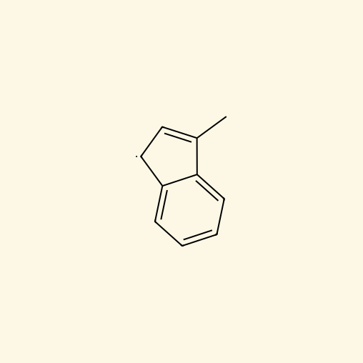 CC1=C[CH]c2ccccc21